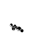 CC(C)C[C@H](NC(=O)c1ccc2c(c1)Nc1ccccc1S2)C(=O)N[C@@H]1COCCN1C(=O)OC1CCCO1